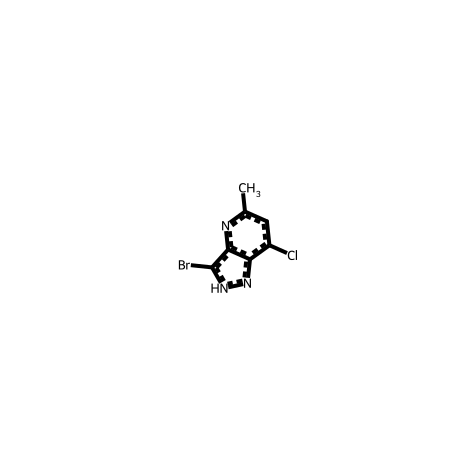 Cc1cc(Cl)c2n[nH]c(Br)c2n1